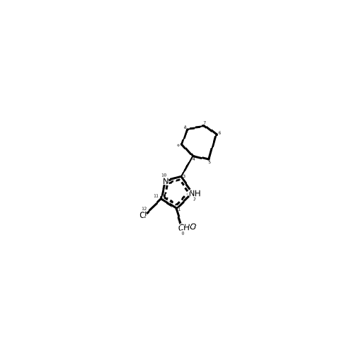 O=Cc1[nH]c(C2CCCCC2)nc1Cl